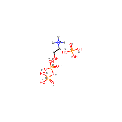 C[N+](C)(C)CCO.O=P(O)(O)O.O=P([O-])(O)OP(=O)(O)O